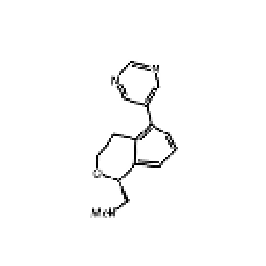 CNC[C@H]1OCCc2c(-c3cncnc3)cccc21